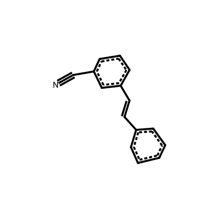 N#Cc1cccc(C=Cc2ccccc2)c1